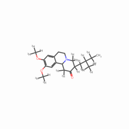 [2H]C([2H])([2H])Oc1cc2c(cc1OC([2H])([2H])[2H])C1N(CC2)C([2H])([2H])C([2H])(C([2H])([2H])C([2H])(C([2H])([2H])[2H])C([2H])([2H])C)C(=O)C1([2H])[2H]